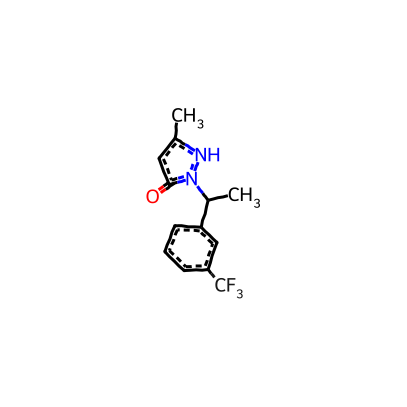 Cc1cc(=O)n(C(C)c2cccc(C(F)(F)F)c2)[nH]1